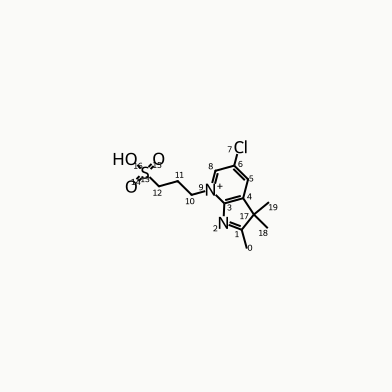 CC1=Nc2c(cc(Cl)c[n+]2CCCS(=O)(=O)O)C1(C)C